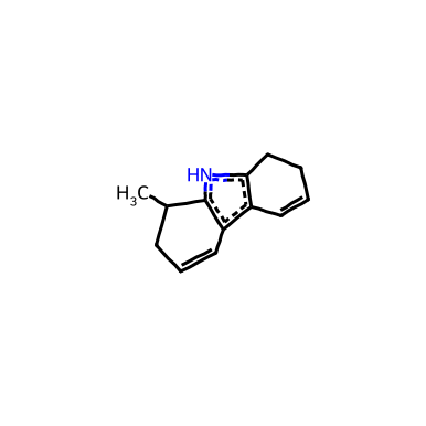 CC1CC=Cc2c1[nH]c1c2C=CCC1